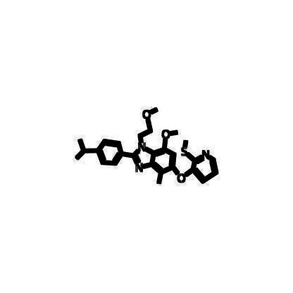 COCCn1c(-c2ccc(C(C)C)cc2)nc2c(C)c(Oc3cccnc3SC)cc(OC)c21